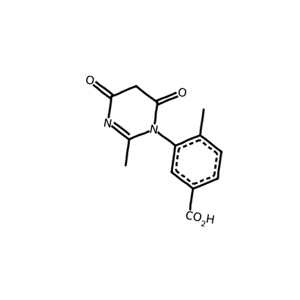 CC1=NC(=O)CC(=O)N1c1cc(C(=O)O)ccc1C